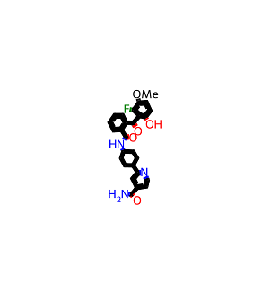 COc1ccc(O)c(C(=O)c2ccccc2C(=O)NC2CCC(c3cc(C(N)=O)ccn3)CC2)c1F